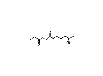 CCC(=O)CCC(=O)CCCCC(C)O